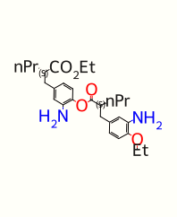 CCC[C@@H](Cc1ccc(OC(=O)[C@@H](CCC)Cc2ccc(OCC)c(N)c2)c(N)c1)C(=O)OCC